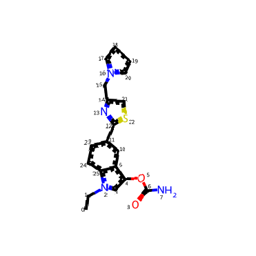 CCn1cc(OC(N)=O)c2cc(-c3nc(Cn4cccc4)cs3)ccc21